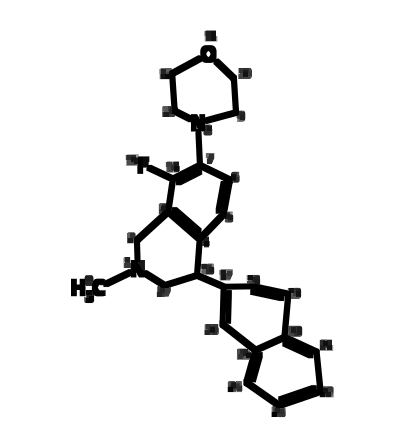 CN1Cc2c(ccc(N3CCOCC3)c2F)C(c2ccc3ccccc3c2)C1